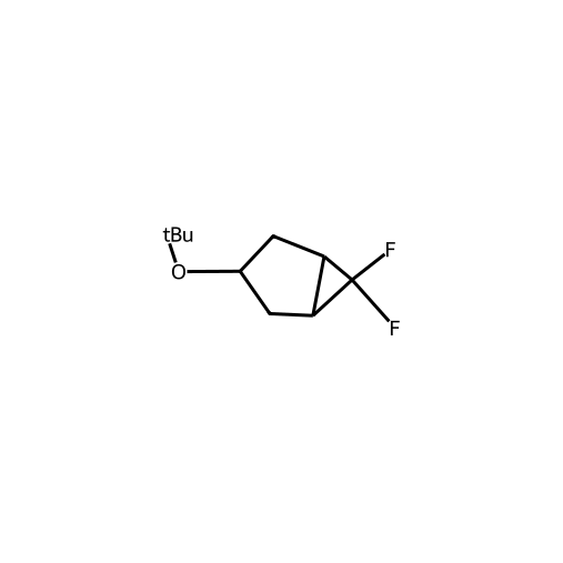 CC(C)(C)OC1CC2C(C1)C2(F)F